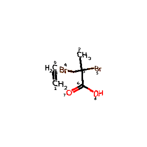 C=C.CC(Br)(Br)C(=O)O